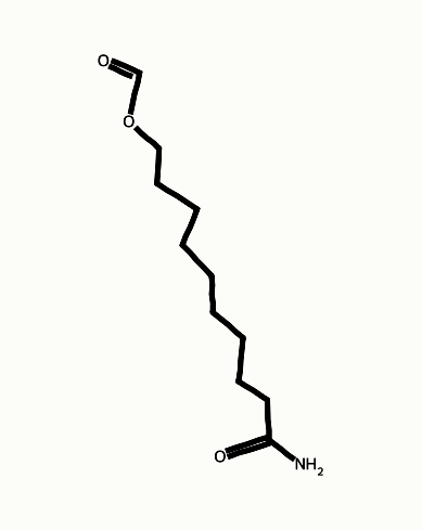 NC(=O)CCCCCCCCCOC=O